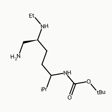 CCN[C@H](CN)CCC(NC(=O)OC(C)(C)C)C(C)C